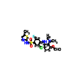 Cc1cnc(NS(=O)(=O)c2cc(Cl)c(N[C@H]3CCCC(OC=O)[C@@H]3N(C)C)cc2F)s1